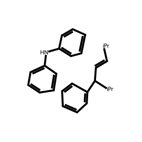 CC(C)C=CC(c1ccccc1)C(C)C.c1ccc(Nc2ccccc2)cc1